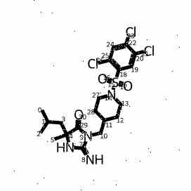 CC(C)CC1(C)NC(=N)N(CC2CCN(S(=O)(=O)c3cc(Cl)c(Cl)cc3Cl)CC2)C1=O